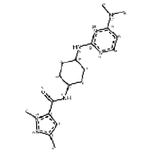 Cc1cc(C(=O)NC2CCC(Nc3nccc(N(C)C)n3)CC2)n(C)n1